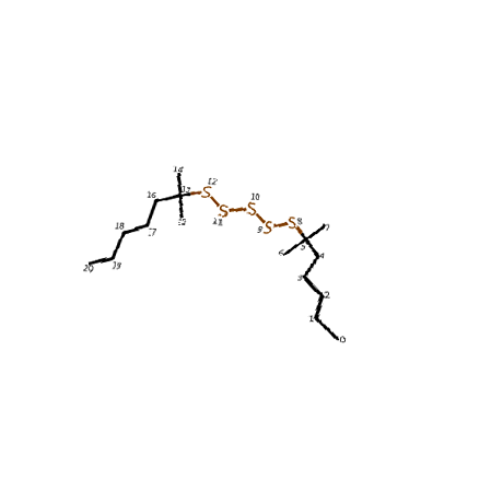 CCCCCC(C)(C)SSSSSC(C)(C)CCCCC